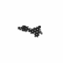 Cc1ccccc1-c1c2ccc(=O)cc-2oc2cc(OCc3ccc(C(C)(C)C)cc3)ccc12